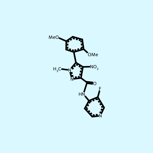 COc1ccc(OC)c(-c2c([N+](=O)[O-])c(C(=O)Nc3ccncc3F)nn2C)c1